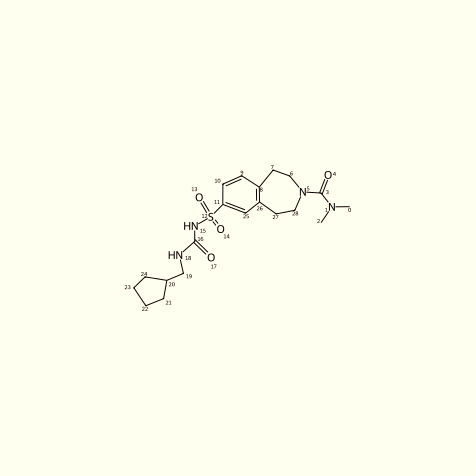 CN(C)C(=O)N1CCc2ccc(S(=O)(=O)NC(=O)NCC3CCCC3)cc2CC1